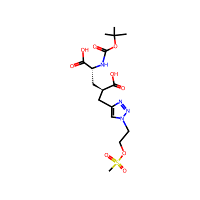 CC(C)(C)OC(=O)N[C@H](C[C@H](Cc1cn(CCOS(C)(=O)=O)nn1)C(=O)O)C(=O)O